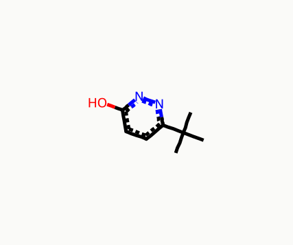 CC(C)(C)c1ccc(O)nn1